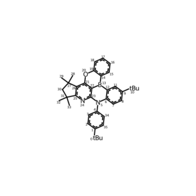 CC(C)(C)c1ccc(N2c3ccc(C(C)(C)C)cc3B3c4ccccc4Oc4c3c2nc2c4C(C)(C)CC2(C)C)cc1